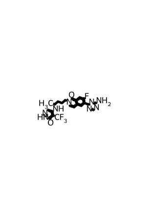 CC(CCCn1ccc2cc(-c3ncnc(N)n3)c(F)cc2c1=O)Nc1cn[nH]c(=O)c1C(F)(F)F